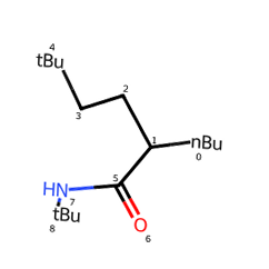 CCCCC(CCC(C)(C)C)C(=O)NC(C)(C)C